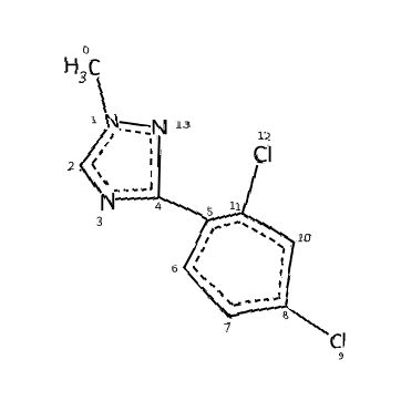 Cn1[c]nc(-c2ccc(Cl)cc2Cl)n1